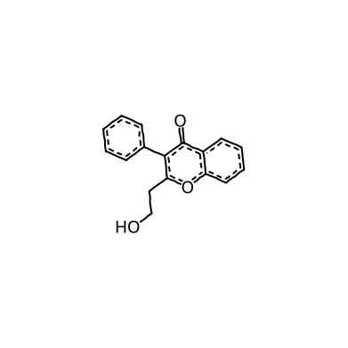 O=c1c(-c2ccccc2)c(CCO)oc2ccccc12